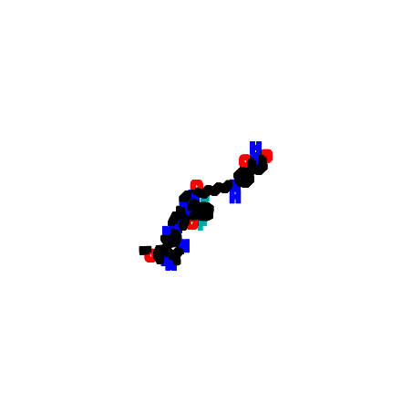 CCOc1cc(-c2ccc(N3CCC(CN4CCN(C(=O)CCCCCCNc5ccc(C6CCC(=O)NC6=O)cc5)CC4)(NC(=O)c4cc(F)ccc4F)CC3)nc2)c2c(C#N)cnn2c1